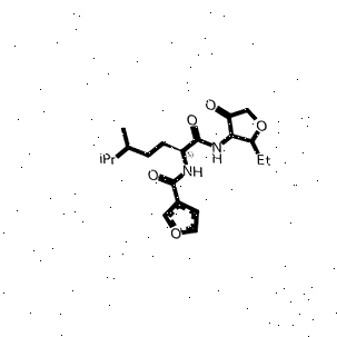 CCC1OCC(=O)C1NC(=O)[C@H](CCC(C)C(C)C)NC(=O)c1ccoc1